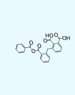 O=C(OC(=O)c1ccccc1Cc1cccc(C(=O)O)c1C(=O)O)c1ccccc1